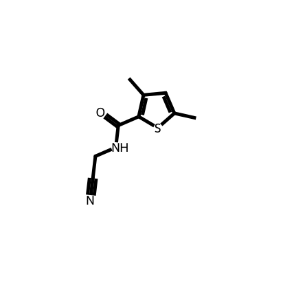 Cc1cc(C)c(C(=O)NCC#N)s1